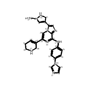 NN1C=C(c2cnc3c(Nc4ccc(-n5ccnc5)cc4)nc(C4=CCCNC4)cn23)CN1